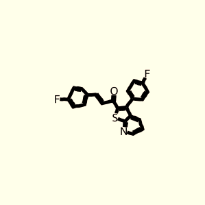 O=C(C=Cc1ccc(F)cc1)c1sc2ncccc2c1-c1ccc(F)cc1